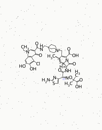 CCn1cc(C(=O)NCC23CC[N+](CC4=C(C(=O)O)N5C(=O)[C@@H](NC(=O)/C(=N\OC(C)(C)C(=O)O)c6csc(N)n6)[C@H]5S[C@H]4C)(CC2)CC3)c(=O)c2c(Cl)c(O)c(O)cc21